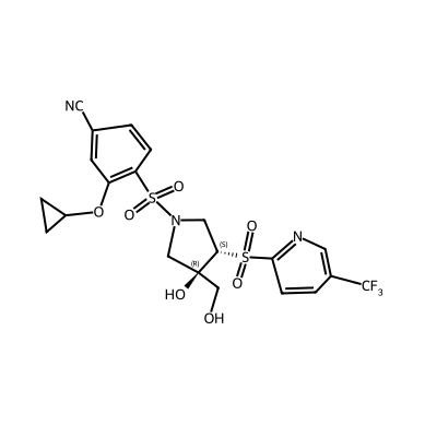 N#Cc1ccc(S(=O)(=O)N2C[C@H](S(=O)(=O)c3ccc(C(F)(F)F)cn3)[C@](O)(CO)C2)c(OC2CC2)c1